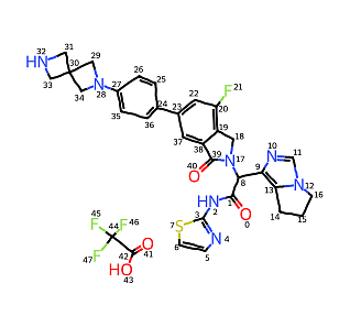 O=C(Nc1nccs1)C(c1ncn2c1CCC2)N1Cc2c(F)cc(-c3ccc(N4CC5(CNC5)C4)cc3)cc2C1=O.O=C(O)C(F)(F)F